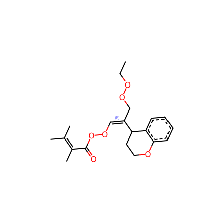 CCOOC/C(=C/OOC(=O)C(C)=C(C)C)C1CCOc2ccccc21